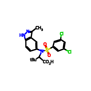 Cc1n[nH]c2ccc(N(C(C(=O)O)C(C)(C)C)S(=O)(=O)c3cc(Cl)cc(Cl)c3)cc12